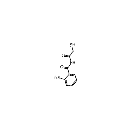 O=C(CS)NC(=O)c1ccccc1S